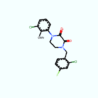 COc1c(Cl)cccc1N1CCN(Cc2ccc(F)cc2Cl)C(=O)C1=O